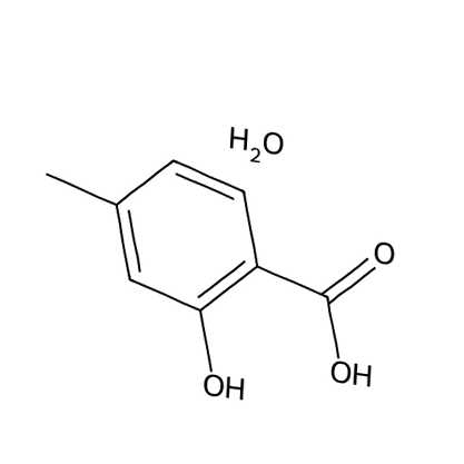 Cc1ccc(C(=O)O)c(O)c1.O